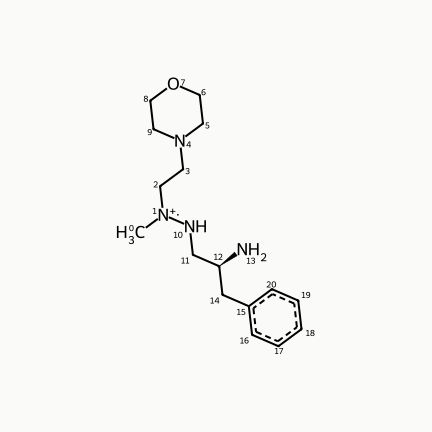 C[N+](CCN1CCOCC1)NC[C@@H](N)Cc1ccccc1